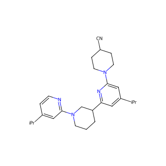 CC(C)c1ccnc(N2CCCC(c3cc(C(C)C)cc(N4CCC(C#N)CC4)n3)C2)c1